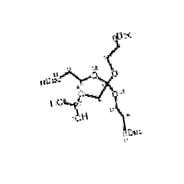 CCCCCCCCCCCCOC(COP(O)O)(OCCCCCCCCCCCC)OCCCCCCCCCCCC